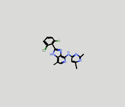 Cc1cc(Nc2ncc(C)c3[nH]c(-c4c(Cl)cccc4Cl)nc23)nc(C)n1